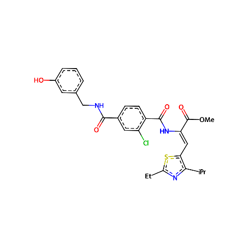 CCc1nc(C(C)C)c(/C=C(\NC(=O)c2ccc(C(=O)NCc3cccc(O)c3)cc2Cl)C(=O)OC)s1